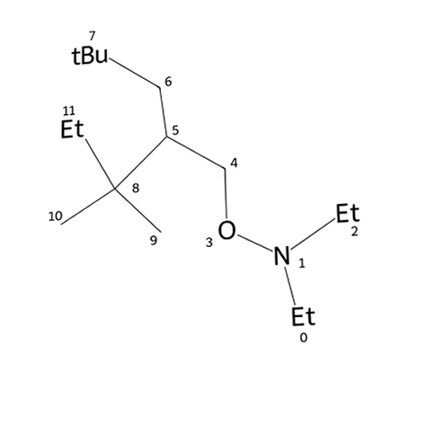 CCN(CC)OCC(CC(C)(C)C)C(C)(C)CC